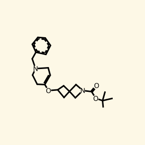 CC(C)(C)OC(=O)N1CC2(CC(OC3=CCN(Cc4ccccc4)CC3)C2)C1